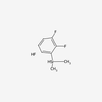 C[SiH](C)c1cccc(F)c1F.F